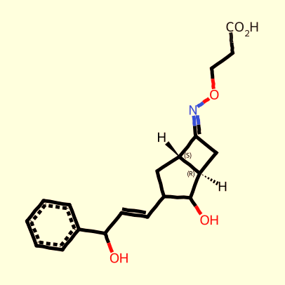 O=C(O)CCON=C1C[C@H]2C(O)C(C=CC(O)c3ccccc3)C[C@H]12